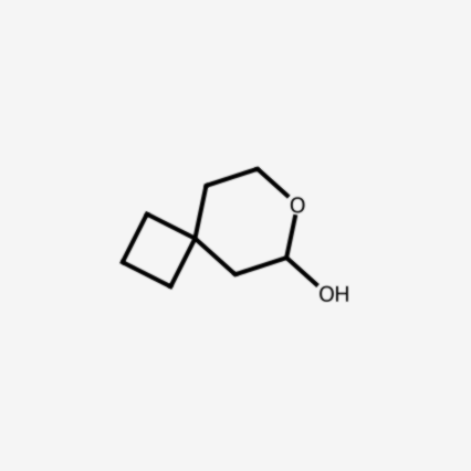 OC1CC2(CCC2)CCO1